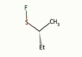 CC[C@@H](C)SF